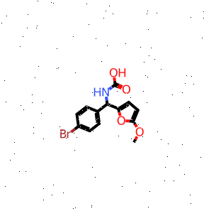 COc1ccc(C(NC(=O)O)c2ccc(Br)cc2)o1